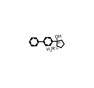 N[C@H]1CCC[C@@]1(O)c1ccc(-c2ccccc2)cc1